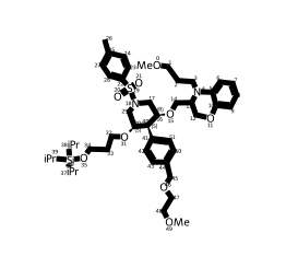 COCCCN1c2ccccc2OCC1CO[C@H]1CN(S(=O)(=O)c2ccc(C)cc2)C[C@@H](OCCCO[Si](C(C)C)(C(C)C)C(C)C)[C@@H]1c1ccc(COCCOC)cc1